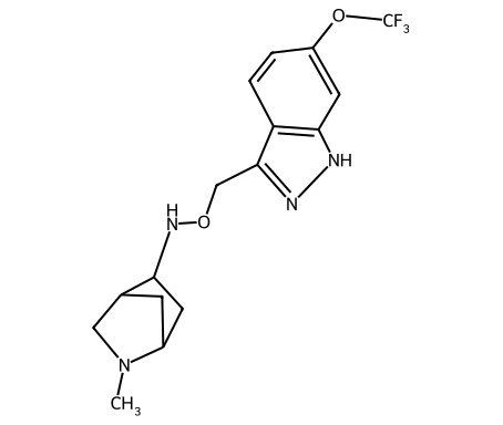 CN1CC2CC1CC2NOCc1n[nH]c2cc(OC(F)(F)F)ccc12